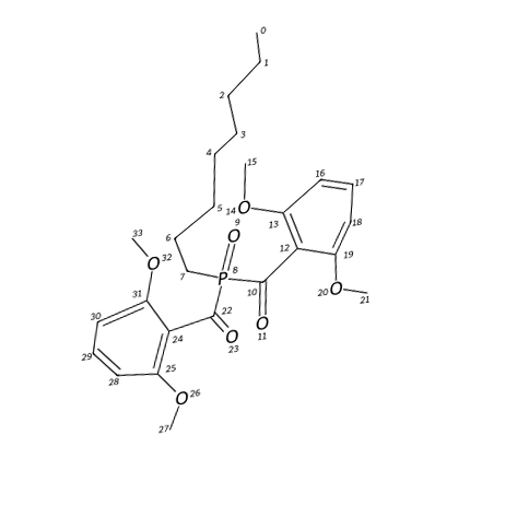 CCCCCCCCP(=O)(C(=O)c1c(OC)cccc1OC)C(=O)c1c(OC)cccc1OC